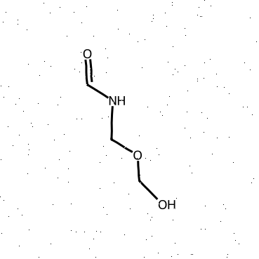 O=CNCOCO